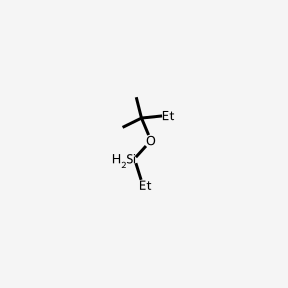 CC[SiH2]OC(C)(C)CC